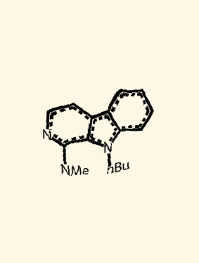 CCCCn1c2ccccc2c2ccnc(NC)c21